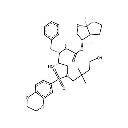 CC(C)(CCC#N)CN(C[C@H](O)[C@H](Cc1ccccc1)NC(=O)O[C@H]1CO[C@H]2OCC[C@H]21)S(=O)(=O)c1ccc2c(c1)OCCO2